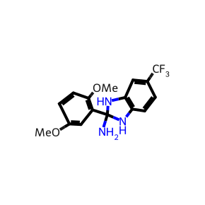 COc1ccc(OC)c(C2(N)Nc3ccc(C(F)(F)F)cc3N2)c1